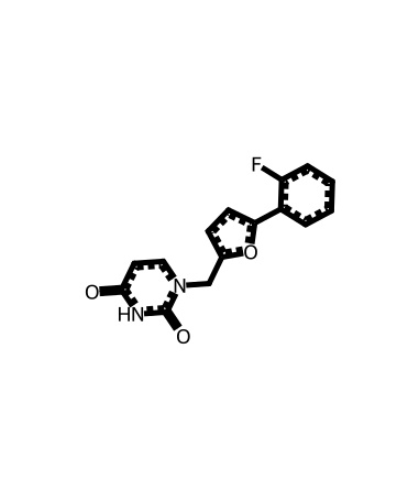 O=c1ccn(Cc2ccc(-c3ccccc3F)o2)c(=O)[nH]1